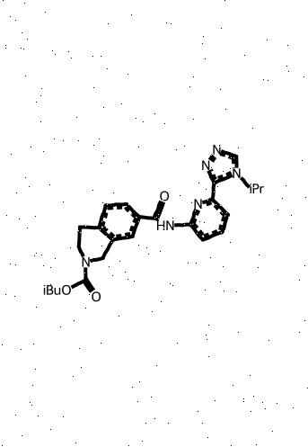 CC(C)COC(=O)N1CCc2ccc(C(=O)Nc3cccc(-c4nncn4C(C)C)n3)cc2C1